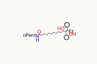 CCCCCNC(=O)CCCCCCCCCC/C(=C(/CC)c1ccccc1O)c1ccccc1O